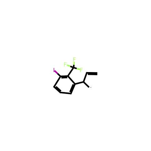 [CH2]C(C=C)c1cccc(I)c1C(F)(F)F